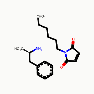 N[C@@H](Cc1ccccc1)C(=O)O.O=[C]CCCCCN1C(=O)C=CC1=O